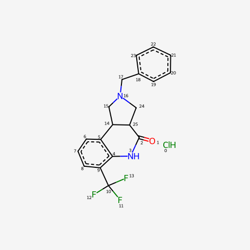 Cl.O=C1Nc2c(cccc2C(F)(F)F)C2CN(Cc3ccccc3)CC12